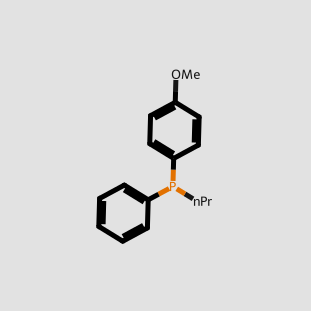 CCCP(c1ccccc1)c1ccc(OC)cc1